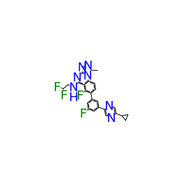 Cc1nnc2nc(NCC(F)F)c3c(F)c(-c4cc(F)cc(-c5cnc(C6CC6)cn5)c4)ccc3n12